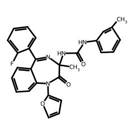 Cc1cccc(NC(=O)NC2(C)N=C(c3ccccc3F)c3ccccc3N(c3ccco3)C2=O)c1